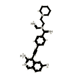 N=CN(CCN1CCCCC1)C(=N)c1ccc(C#Cc2c(N)ncc3ccc(Cl)cc23)cc1